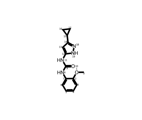 COc1ccccc1NC(=O)Nc1cc(C2CC2)n[nH]1